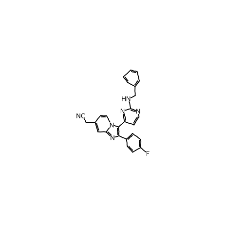 N#CCc1ccn2c(-c3ccnc(NCc4ccccc4)n3)c(-c3ccc(F)cc3)nc2c1